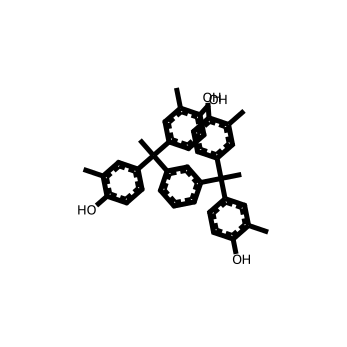 Cc1cc(C(C)(c2cccc(C(C)(c3ccc(O)c(C)c3)c3ccc(O)c(C)c3)c2)c2ccc(O)c(C)c2)ccc1O